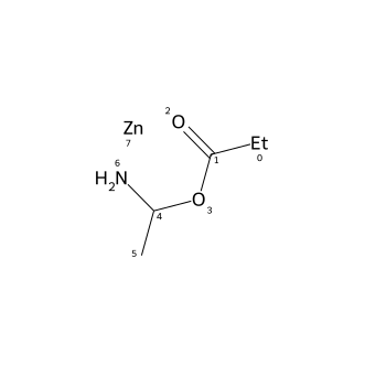 CCC(=O)OC(C)N.[Zn]